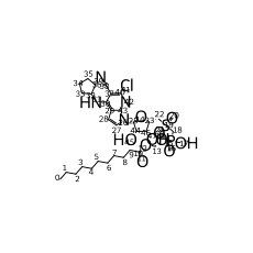 CCCCCCCCCCC(=O)OCOP(=O)(O)CS(=O)(=O)C[C@H]1O[C@@H](n2ccc3c(NC4CCCC4)c(C#N)c(Cl)nc32)[C@H](O)[C@@H]1O